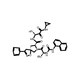 CCC[C@H](NC(=O)[C@@H]1C[C@]2(CC(c3ccccc3)=NO2)CN1C(=O)[C@@H](NC(=O)Nc1cccc2ccccc12)C(C)(C)C)C(=O)C(=O)NC1CC1